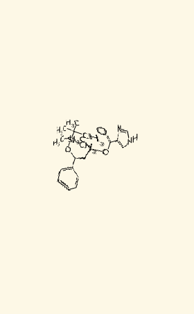 CC(C[C@H](O[Si](C)(C)C(C)(C)C)c1ccccc1)OC(=O)c1c[nH]cn1